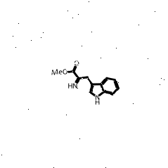 COC(=O)C(=N)Cc1c[nH]c2ccccc12